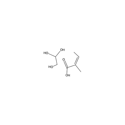 CC=C(C)C(=O)O.OCC(O)O